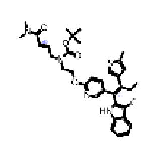 CC/C(=C(/c1ccc(OCCN(C/C=C/C(=O)N(C)C)C(=O)OC(C)(C)C)nc1)c1[nH]c2ccccc2c1Cl)c1csc(C)c1